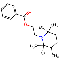 CCC1(C)CCC(C)C(C)(CC)N1CCOC(=O)c1ccccc1